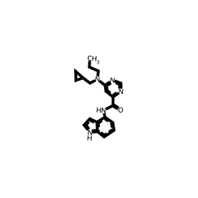 CCCN(CC1CC1)c1cc(C(=O)Nc2cccc3[nH]ccc23)ncn1